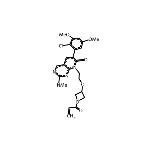 C=CC(=O)N1CC(OCCn2c(=O)c(-c3cc(OC)cc(OC)c3Cl)cc3cnc(NC)nc32)C1